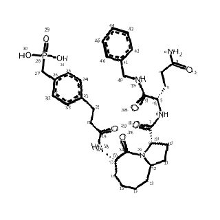 NC(=O)CC[C@H](NC(=O)[C@@H]1CCC2CCCC[C@H](NC(=O)CCc3ccc(CP(=O)(O)O)cc3)C(=O)N21)C(=O)NCc1ccccc1